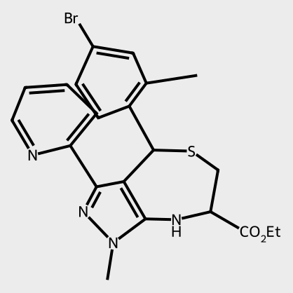 CCOC(=O)C1CSC(c2ccc(Br)cc2C)c2c(-c3ccccn3)nn(C)c2N1